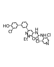 CCn1nc(-c2cccc(-c3ccc(O)c(Cl)c3)c2)cc(NC(=O)Nc2c(Cl)cncc2Cl)c1=O